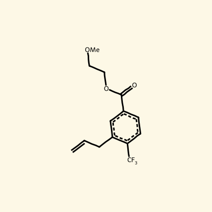 C=CCc1cc(C(=O)OCCOC)ccc1C(F)(F)F